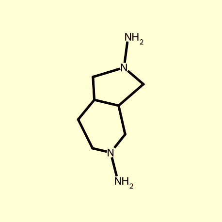 NN1CCC2CN(N)CC2C1